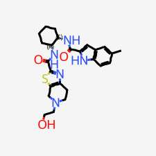 Cc1ccc2[nH]c(C(=O)N[C@H]3CCCC[C@H]3NC(=O)c3nc4c(s3)CN(CCO)CC4)cc2c1